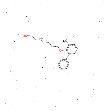 Cc1cccc(-c2ccccc2)c1OCCCCNCCO